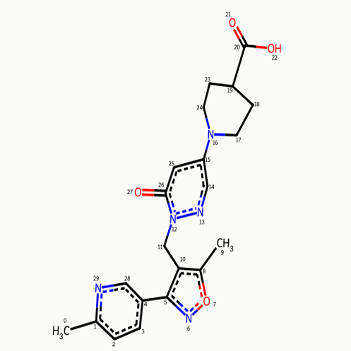 Cc1ccc(-c2noc(C)c2Cn2ncc(N3CCC(C(=O)O)CC3)cc2=O)cn1